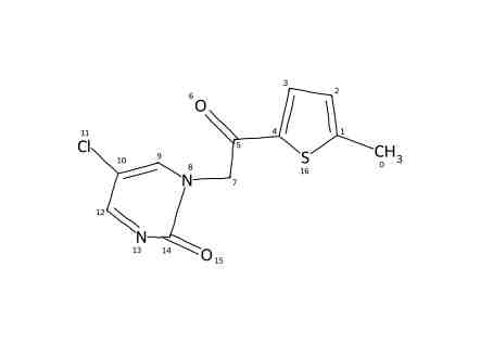 Cc1ccc(C(=O)Cn2cc(Cl)cnc2=O)s1